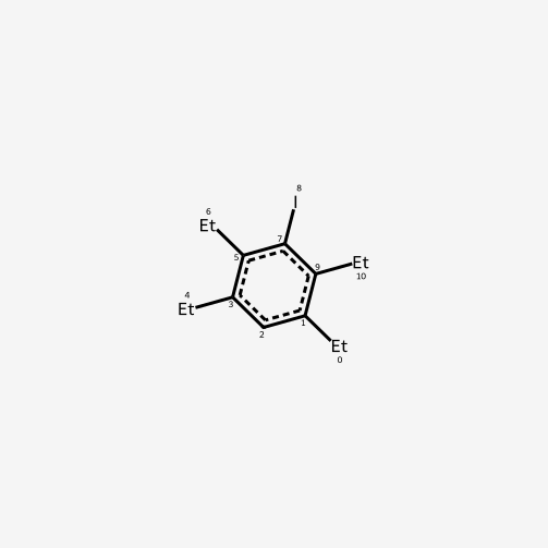 CCc1cc(CC)c(CC)c(I)c1CC